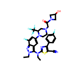 CCN(c1nc(-c2ccc(F)cc2)c(C#N)s1)c1c2cc(N3CCN(CC(=O)N4CC(O)C4)CC3C(F)(F)F)cc(F)c2nn1CC